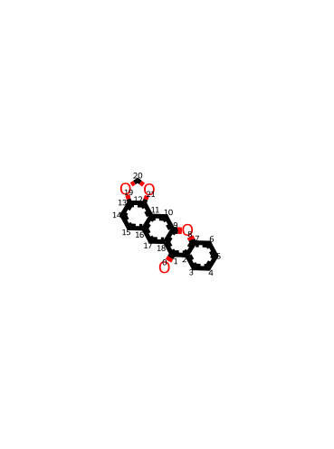 O=c1c2ccccc2oc2cc3c4c(ccc3cc12)OCO4